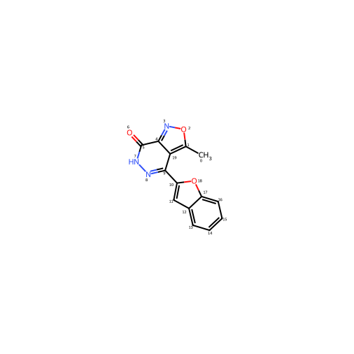 Cc1onc2c(=O)[nH]nc(-c3cc4ccccc4o3)c12